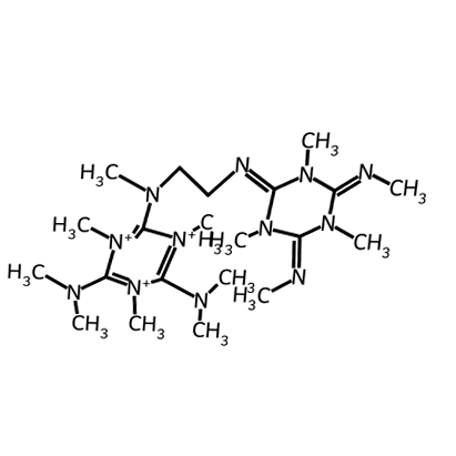 C/N=c1\n(C)/c(=N\CCN(C)c2[n+](C)c(N(C)C)[n+](C)c(N(C)C)[n+]2C)n(C)/c(=N/C)n1C